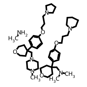 CN.CN(C)CC1(c2ccc(OCCCN3CCCCC3)cc2)CCOCC1.CN1CCN(CC2(c3ccc(OCCCN4CCCC4)cc3)CCOCC2)CC1